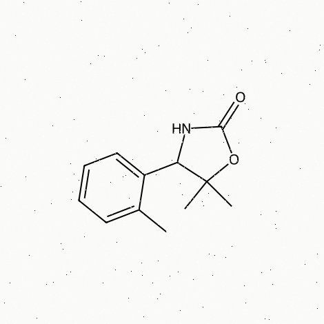 Cc1ccccc1C1NC(=O)OC1(C)C